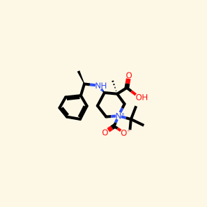 C[C@@H](N[C@@H]1CC[N+](C(=O)[O-])(C(C)(C)C)C[C@]1(C)C(=O)O)c1ccccc1